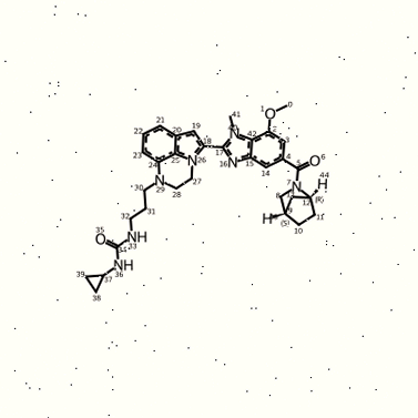 COc1cc(C(=O)N2C[C@H]3CC[C@@H]2C3)cc2nc(-c3cc4cccc5c4n3CCN5CCCNC(=O)NC3CC3)n(C)c12